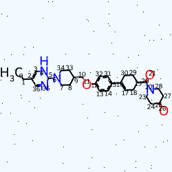 CCC1=CNC(N2CCC(COc3ccc(C4=CCC(C(=O)N5CCC(=O)CC5)CC4)cc3)CC2)N=C1